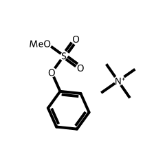 COS(=O)(=O)Oc1ccccc1.C[N+](C)(C)C